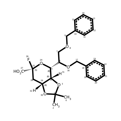 CC1(C)O[C@H]2[C@@H](C(COCc3ccccc3)OCc3ccccc3)O[C@@](F)(C(=O)O)C[C@H]2O1